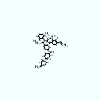 COc1ccc(N2C(=O)N(c3c(C)cccc3C)C(C)c3cnc(Nc4ccc(N5CCN(C)CC5)cc4)nc32)c(OC)c1